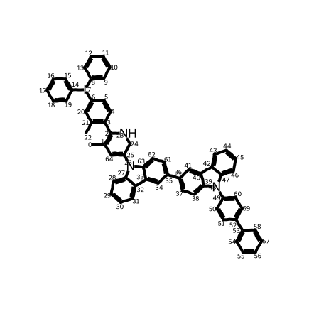 CC1=C(c2ccc(I(c3ccccc3)c3ccccc3)cc2C)NCC(n2c3ccccc3c3cc(-c4ccc5c(c4)c4ccccc4n5-c4ccc(-c5ccccc5)cc4)ccc32)=C1